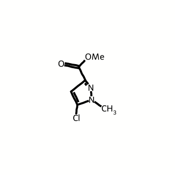 COC(=O)c1cc(Cl)n(C)n1